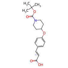 CC(C)(C)OC(=O)N1CCC(Oc2ccc(/C=C/C(=O)O)cc2)CC1